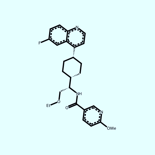 CCOC[C@@H](NC(=O)c1ccc(OC)nc1)[C@H]1CC[C@@H](c2ccnc3ccc(F)cc32)CC1